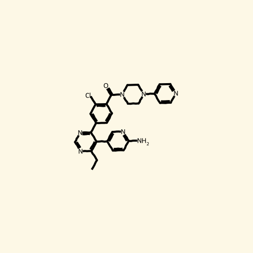 CCc1ncnc(-c2ccc(C(=O)N3CCN(c4ccncc4)CC3)c(Cl)c2)c1-c1ccc(N)nc1